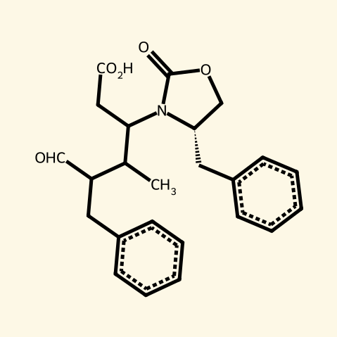 CC(C(C=O)Cc1ccccc1)C(CC(=O)O)N1C(=O)OC[C@@H]1Cc1ccccc1